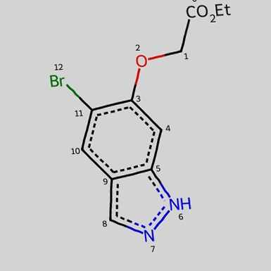 CCOC(=O)COc1cc2[nH]ncc2cc1Br